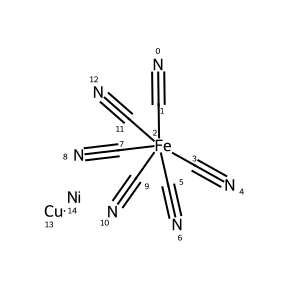 N#[C][Fe]([C]#N)([C]#N)([C]#N)([C]#N)[C]#N.[Cu].[Ni]